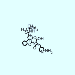 CC(C)(C)NC(=O)N1CCN(C(=O)N2C(=O)[C@H](Cc3ccnc(N)c3)C2C(=O)O)C(c2ccccc2)C1